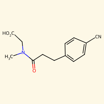 CN(CC(=O)O)C(=O)CCc1ccc(C#N)cc1